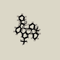 CC(C)(C)c1cc2c3c(c1)N1c4ccccc4C(C)(C)c4cccc(c41)B3n1c3oc4ccccc4c3c3cccc-2c31